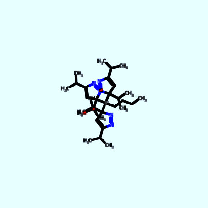 CCCC[B-](C1(C(C)C)C=C(C(C)C)N=N1)(C1(C(C)C)C=C(C(C)C)N=N1)C1(C(C)C)C=C(C(C)C)N=N1